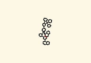 c1ccc(C2(c3ccccc3)c3ccccc3-c3ccc(-c4ccc(N(c5ccccc5-c5cccc(-c6cccc7ccccc67)c5)c5cccc6ccccc56)cc4)cc32)cc1